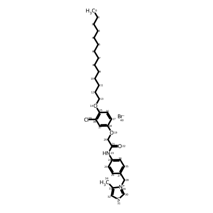 CCCCCCCCCCCCCCOc1ccc(OCC(=O)Nc2ccc(C[n+]3cscc3C)cc2)cc1Cl.[Br-]